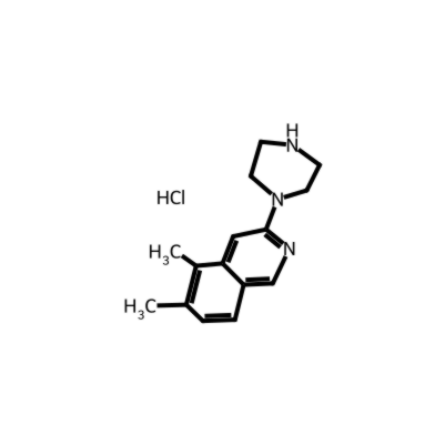 Cc1ccc2cnc(N3CCNCC3)cc2c1C.Cl